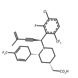 C=C(C)C#C[C@@H](c1c(C(F)(F)F)ccc(Cl)c1F)N1CC[C@H](CC(=O)O)C[C@@H]1C1C=CC(C(F)(F)F)=CC1